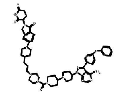 Nc1ncnc2c1c(-c1ccc(Oc3ccccc3)cc1)nn2C1CCN(C2CCN(C(=O)N3CCN(CCCC4CCN(c5ccc6c(c5)CN(C5CCC(=O)NC5=O)C6=O)CC4)CC3)CC2)CC1